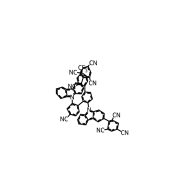 N#Cc1cc(C#N)c(-c2ccc3c(c2)c2ccccc2n3-c2ccc(-c3ccc(C(F)(F)F)cc3C#N)cc2-c2ccc(C#N)cc2-n2c3ccccc3c3cc(-c4c(C#N)cc(C#N)cc4C#N)ccc32)c(C#N)c1